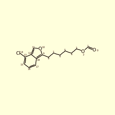 O=[C]OCCCCCCc1occ2c(Cl)cccc12